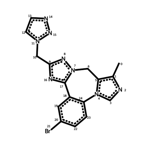 Cc1ncn2c1Cn1nc(Cn3ccnn3)nc1-c1cc(Br)ccc1-2